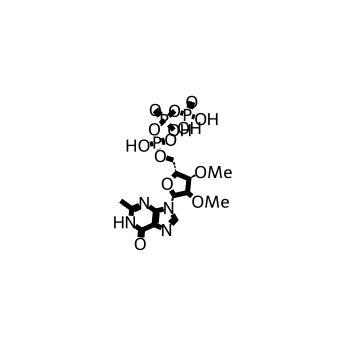 COC1[C@@H](OC)[C@@H](COP(=O)(O)OP(=O)(O)OP(=O)(O)O)O[C@H]1n1cnc2c(=O)[nH]c(C)nc21